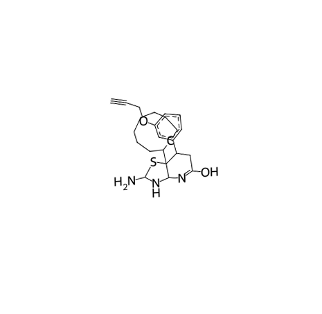 C#CCOc1cccc(C2CC(O)=NC3NC(N)SC32C2CCCCCCCC2)c1